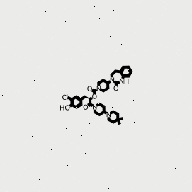 CC1(C)CCN(C2CCN(C(=O)[C@@H](Cc3ccc(O)c(Cl)c3)OC(=O)N3CCC(N4CCc5ccccc5NC4=O)CC3)CC2)CC1